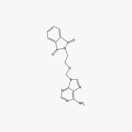 Nc1ncnc2c1ncn2COCCN1C(=O)c2ccccc2C1=O